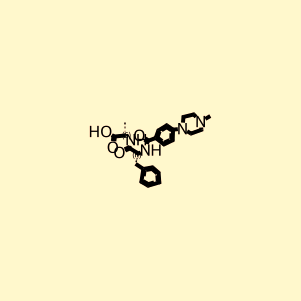 C[C@H](NC(=O)[C@@H](Cc1ccccc1)NC(=O)c1ccc(N2CCN(C)CC2)cc1)C(=O)O